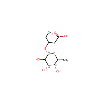 CCC(CC(=O)O)O[C@@H]1OC(C)[C@H](O)[C@H](O)C1O